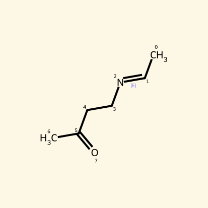 C/C=N/CCC(C)=O